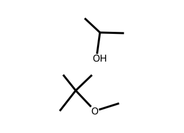 CC(C)O.COC(C)(C)C